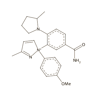 COc1ccc([N+]2(c3cc(C(N)=O)ccc3N3CCCC3C)C=CC(C)=N2)cc1